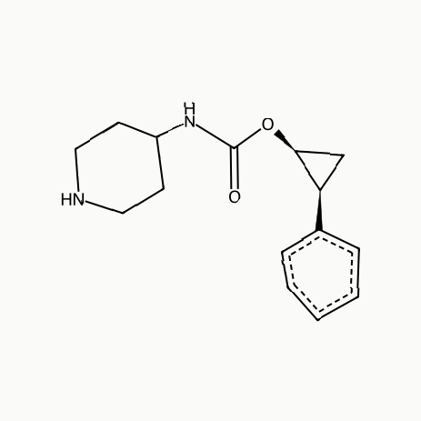 O=C(NC1CCNCC1)O[C@H]1C[C@H]1c1ccccc1